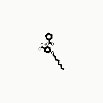 CCCCCCCCOc1ccc(C(=O)O)c(OC(=O)c2ccccc2)c1